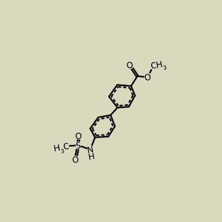 COC(=O)c1ccc(-c2ccc(NS(C)(=O)=O)cc2)cc1